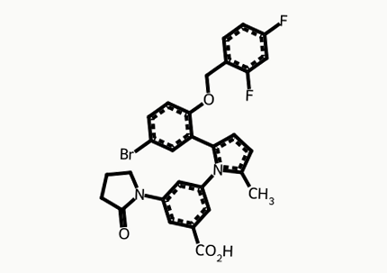 Cc1ccc(-c2cc(Br)ccc2OCc2ccc(F)cc2F)n1-c1cc(C(=O)O)cc(N2CCCC2=O)c1